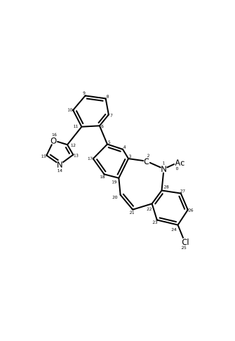 CC(=O)N1Cc2cc(-c3ccccc3-c3cnco3)ccc2C=Cc2cc(Cl)ccc21